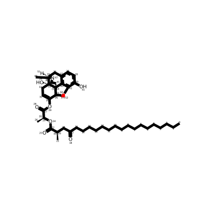 CCCCCCCCCCCCCCCCCC(=O)C[C@@H](C)C(=O)O[C@@H](C)C(=O)OC1=CC[C@@]2(O)[C@H]3Cc4ccc(O)c5c4[C@@]2(CCN3C)[C@H]1O5